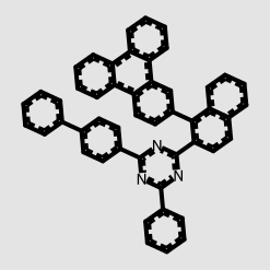 c1ccc(-c2ccc(-c3nc(-c4ccccc4)nc(-c4ccc5ccccc5c4-c4ccc5c6ccccc6c6ccccc6c5c4)n3)cc2)cc1